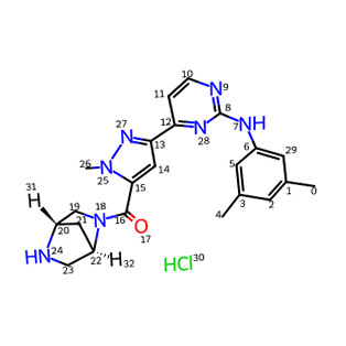 Cc1cc(C)cc(Nc2nccc(-c3cc(C(=O)N4C[C@@H]5C[C@@H]4CN5)n(C)n3)n2)c1.Cl